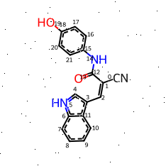 N#CC(=Cc1c[nH]c2ccccc12)C(=O)Nc1ccc(O)cc1